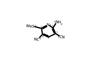 CSc1nc(N)c(C#N)cc1C#N